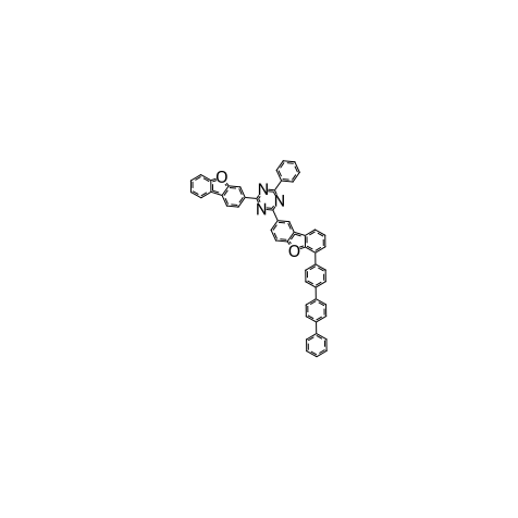 c1ccc(-c2ccc(-c3ccc(-c4cccc5c4oc4ccc(-c6nc(-c7ccccc7)nc(-c7ccc8c(c7)oc7ccccc78)n6)cc45)cc3)cc2)cc1